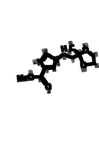 COC(=O)c1cn(CCC2(C)OCCO2)cn1